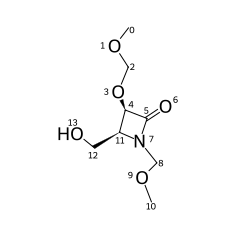 COCO[C@H]1C(=O)N(COC)[C@H]1CO